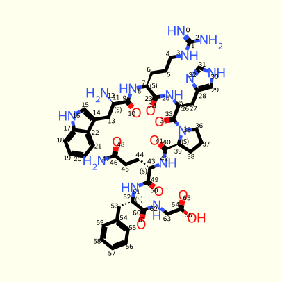 N=C(N)NCCC[C@H](NC(=O)[C@@H](N)Cc1c[nH]c2ccccc12)C(=O)N[C@@H](Cc1c[nH]cn1)C(=O)N1CCC[C@H]1C(=O)N[C@@H](CCC(N)=O)C(=O)N[C@@H](Cc1ccccc1)C(=O)NCC(=O)O